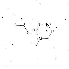 CCCC1C[N]CCN1C